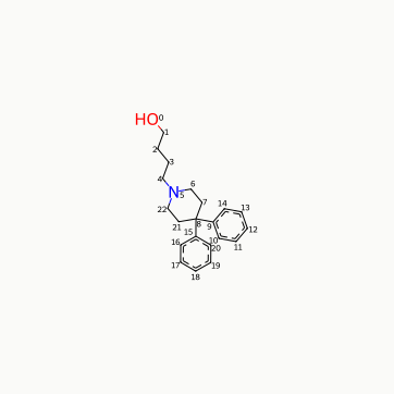 OCCCCN1CCC(c2ccccc2)(c2ccccc2)CC1